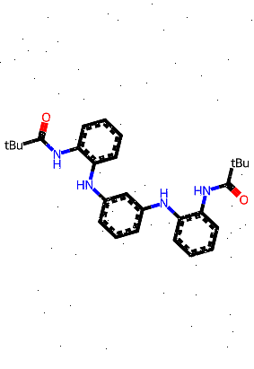 CC(C)(C)C(=O)Nc1ccccc1Nc1cccc(Nc2ccccc2NC(=O)C(C)(C)C)c1